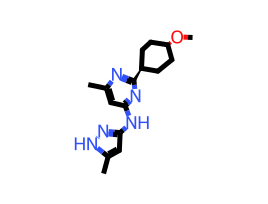 CO[C@H]1CC[C@@H](c2nc(C)cc(Nc3cc(C)[nH]n3)n2)CC1